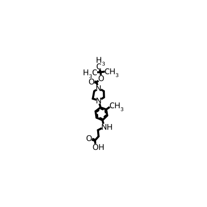 Cc1cc(NCCC(=O)O)ccc1N1CCN(C(=O)OC(C)(C)C)CC1